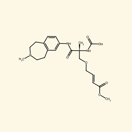 COC(=O)/C=C/COC[C@@](C)(NC(=O)O)C(=O)Nc1ccc2c(c1)CCN(C)CC2